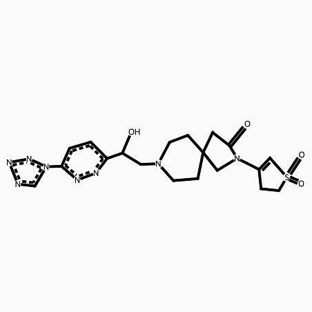 O=C1CC2(CCN(CC(O)c3ccc(-n4cnnn4)nn3)CC2)CN1C1=CS(=O)(=O)CC1